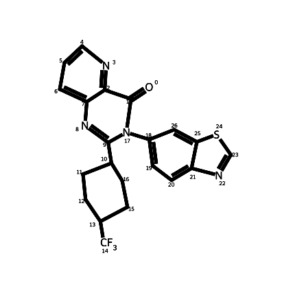 O=c1c2ncccc2nc(C2CCC(C(F)(F)F)CC2)n1-c1ccc2ncsc2c1